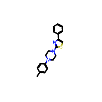 Cc1ccc(N2CCN(c3nc(-c4ccccc4)cs3)CC2)cc1